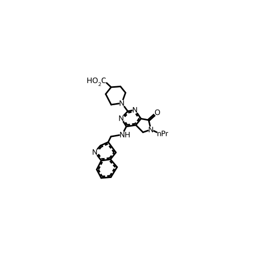 CCCN1Cc2c(NCc3cnc4ccccc4c3)nc(N3CCC(C(=O)O)CC3)nc2C1=O